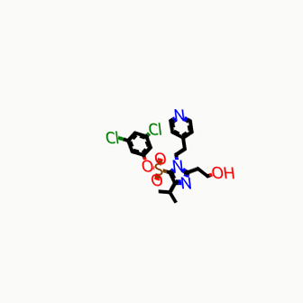 CC(C)c1nc(CCO)n(CCc2ccncc2)c1S(=O)(=O)Oc1cc(Cl)cc(Cl)c1